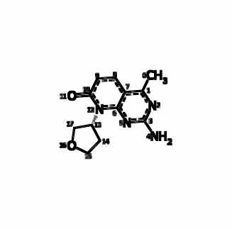 Cc1nc(N)nc2c1ccc(=O)n2[C@@H]1CCOC1